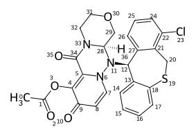 CC(=O)Oc1c2n(ccc1=O)N([C@@H]1c3ccccc3SCc3c(Cl)cccc31)[C@@H]1COCCN1C2=O